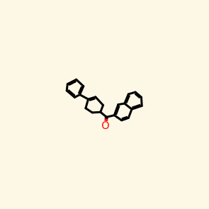 O=C(c1ccc2ccccc2c1)C1CC=C(c2ccccc2)CC1